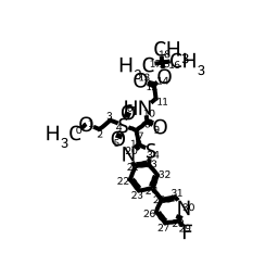 COCCS(=O)(=O)C(C(=O)NCC(=O)OC(C)(C)C)c1nc2ccc(-c3ccc(F)nc3)cc2s1